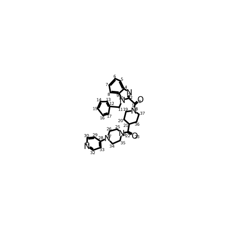 O=C(c1nc2ccccc2n1Cc1ccccc1)N1CCC(C(=O)N2CCN(c3ccncc3)CC2)CC1